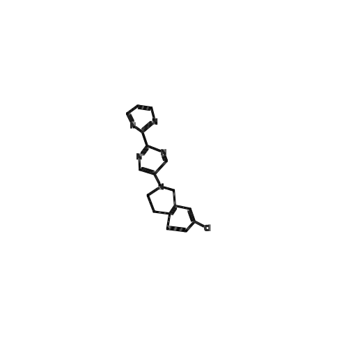 Clc1ccc2c(c1)CN(c1cnc(-c3ncccn3)nc1)CC2